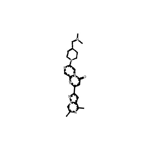 Cc1cn2nc(-c3cc(=O)n4cc(N5CCC(CN(C)C)CC5)ncc4n3)cc2c(C)n1